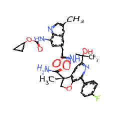 Cc1cnc2c(NC(=O)OC3CC3)cc(C(=O)NCC(O)(c3cc4c(c(-c5ccc(F)cc5)n3)OC[C@]4(C)C(N)=O)C(F)(F)F)cc2c1